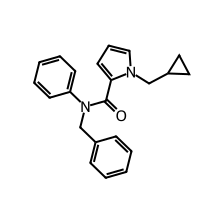 O=C(c1cccn1CC1CC1)N(Cc1ccccc1)c1ccccc1